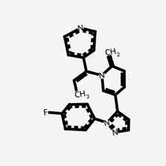 C=C1C=CC(c2ccnn2-c2ccc(F)cc2)=CN1/C(=C\C)c1ccncc1